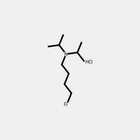 CC(C)N(CCCCCl)C(C)C.Cl